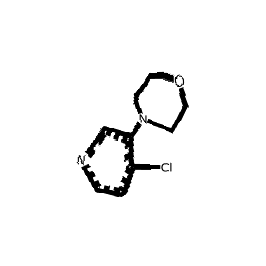 Clc1ccn[c]c1N1CCOCC1